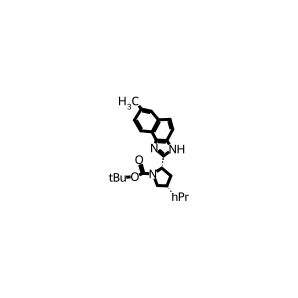 CCC[C@H]1C[C@@H](c2nc3c(ccc4cc(C)ccc43)[nH]2)N(C(=O)OC(C)(C)C)C1